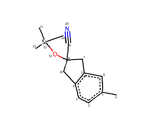 Cc1ccc2c(c1)CC(C#N)(O[Si](C)(C)C)C2